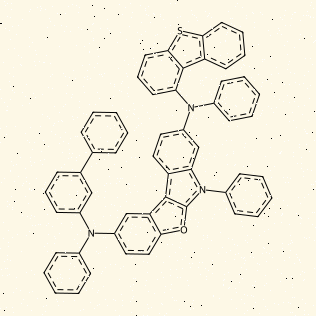 c1ccc(-c2cccc(N(c3ccccc3)c3ccc4oc5c(c4c3)c3ccc(N(c4ccccc4)c4cccc6sc7ccccc7c46)cc3n5-c3ccccc3)c2)cc1